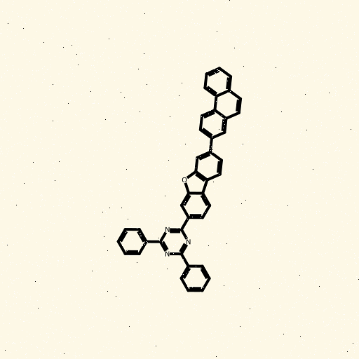 c1ccc(-c2nc(-c3ccccc3)nc(-c3ccc4c(c3)oc3cc(-c5ccc6c(ccc7ccccc76)c5)ccc34)n2)cc1